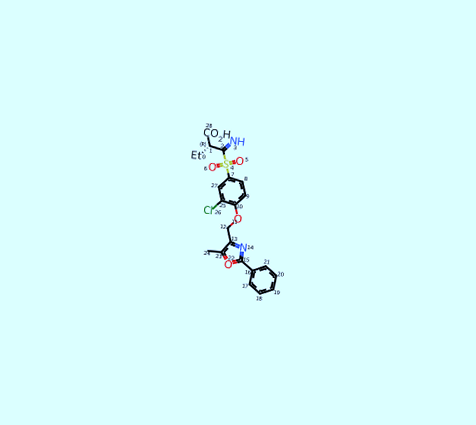 CC[C@@H](C(=N)S(=O)(=O)c1ccc(OCc2nc(-c3ccccc3)oc2C)c(Cl)c1)C(=O)O